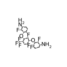 Nc1ccc(F)c(Oc2cc(Oc3c(F)ccc(N)c3F)c(C(F)(F)F)cc2F)c1F